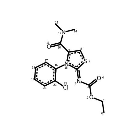 CCOC(=O)/N=c1\scc(C(=O)N(C)C)n1-c1ccccc1Cl